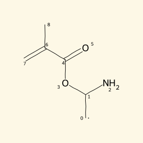 [CH2]C(N)OC(=O)C(=C)C